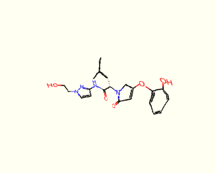 CC(C)C[C@@H](C(=O)Nc1ccn(CCO)n1)N1CC(Oc2ccccc2O)=CC1=O